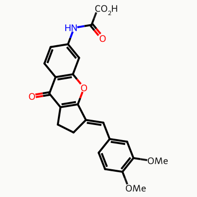 COc1ccc(C=C2CCc3c2oc2cc(NC(=O)C(=O)O)ccc2c3=O)cc1OC